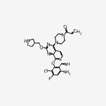 C=CC(=O)N1CCN(c2nc(OCC3CCNC3)nc3c(Oc4c(Cl)c(F)cc(N)c4C=N)nccc23)CC1